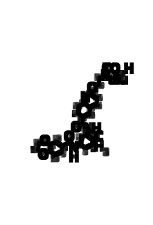 Cc1ccc(NC(=O)c2ccc3c(c2)OCCO3)cc1NC(=O)c1ccc2nc(OCCN(C(=O)O)C(C)(C)C)ccc2c1